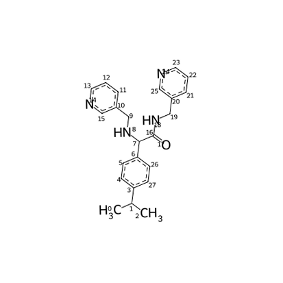 CC(C)c1ccc(C(NCc2cccnc2)C(=O)NCc2cccnc2)cc1